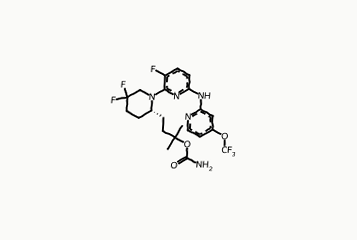 CC(C)(CC[C@@H]1CCC(F)(F)CN1c1nc(Nc2cc(OC(F)(F)F)ccn2)ccc1F)OC(N)=O